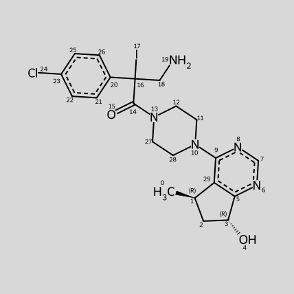 C[C@@H]1C[C@@H](O)c2ncnc(N3CCN(C(=O)C(I)(CN)c4ccc(Cl)cc4)CC3)c21